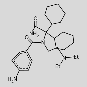 CCN(CC)CCN(C(=O)c1ccc(N)cc1)C(C(N)=O)(C1CCCCC1)C1CCCCC1